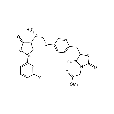 COC(=O)CN1C(=O)SC(Cc2ccc(OC[C@@H](C)N3C[C@@H](c4cccc(Cl)c4)OC3=O)cc2)C1=O